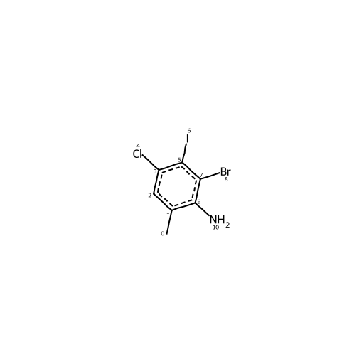 Cc1cc(Cl)c(I)c(Br)c1N